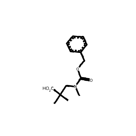 CN(CC(C)(C)C(=O)O)C(=O)OCc1ccccc1